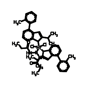 CCC(=O)N[B](NC(=O)CC)[Hf]([Cl])([Cl])([CH]1C(C(C)C)=Cc2c(-c3ccccc3C)cccc21)[CH]1C(C(C)C)=Cc2c(-c3ccccc3C)cccc21